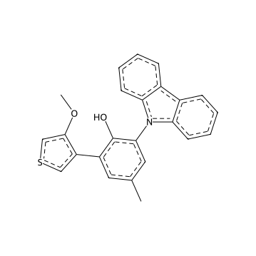 COc1cscc1-c1cc(C)cc(-n2c3ccccc3c3ccccc32)c1O